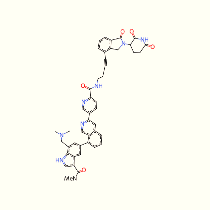 CNC(=O)c1c[nH]c2c(CN(C)C)cc(-c3cccc4cc(-c5ccc(C(=O)NCCC#Cc6cccc7c6CN(C6CCC(=O)NC6=O)C7=O)nc5)ncc34)cc12